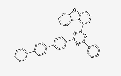 c1ccc(-c2ccc(-c3ccc(-c4nc(-c5ccccc5)nc(-c5cccc6oc7ccccc7c56)n4)cc3)cc2)cc1